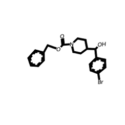 O=C(OCc1ccccc1)N1CCC(C(O)c2ccc(Br)cc2)CC1